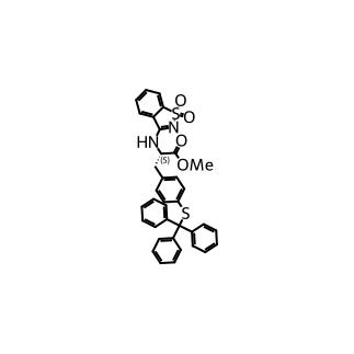 COC(=O)[C@H](Cc1ccc(SC(c2ccccc2)(c2ccccc2)c2ccccc2)cc1)NC1=NS(=O)(=O)c2ccccc21